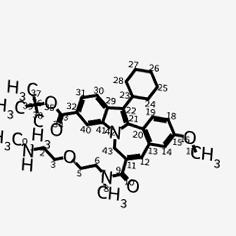 CNCCOCCN(C)C(=O)C1=Cc2cc(OC)ccc2-c2c(C3CCCCC3)c3ccc(C(=O)OC(C)(C)C)cc3n2C1